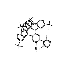 CC(C)(C)c1ccc2c3ccc(C(C)(C)C)cc3n(-c3cc(C#N)c(-c4c(F)cccc4F)cc3-n3c4cc(C(C)(C)C)ccc4c4ccc(C(C)(C)C)cc43)c2c1